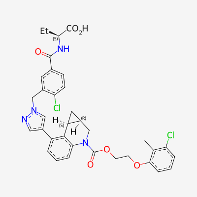 CC[C@H](NC(=O)c1ccc(Cl)c(Cn2cc(-c3cccc4c3[C@H]3C[C@H]3CN4C(=O)OCCOc3cccc(Cl)c3C)cn2)c1)C(=O)O